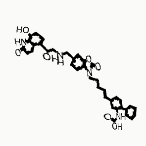 O=C(O)Nc1cc(CCCCCn2c(=O)oc3cc(CNC[C@@H](O)c4ccc(O)c5[nH]c(=O)ccc45)ccc32)ccc1-c1ccccc1